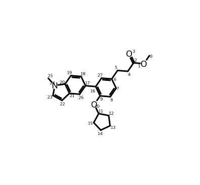 COC(=O)CCc1ccc(OC2CCCC2)c(-c2ccc3c(ccn3C)c2)c1